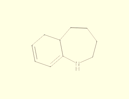 C1=CCC2CCCCNC2=C1